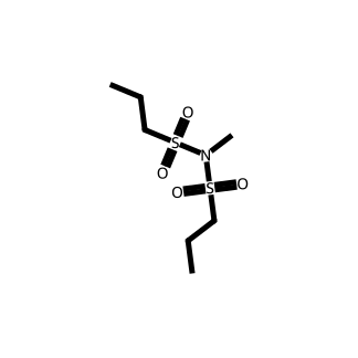 CCCS(=O)(=O)N(C)S(=O)(=O)CCC